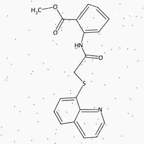 COC(=O)c1ccccc1NC(=O)CSc1cccc2cccnc12